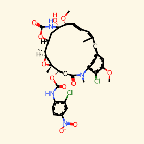 COc1cc2cc(c1Cl)N(C)C(=O)C[C@H](OC(=O)Nc1ccc([N+](=O)[O-])cc1Cl)[C@]1(C)O[C@H]1[C@H](C)[C@@H]1C[C@@](O)(NC(=O)O1)[C@H](OC)/C=C/C=C(\C)C2